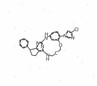 Clc1cn(-c2ccc3cc2OCCCNc2nc(nc4c2CCC4c2ccccc2)N3)cn1